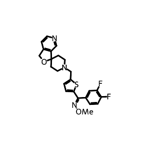 CO/N=C(\c1ccc(F)c(F)c1)c1ccc(CN2CCC3(CC2)OCc2ccncc23)s1